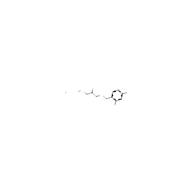 CCCCCCCOCC(O)CSCc1ccc(Cl)cc1Cl